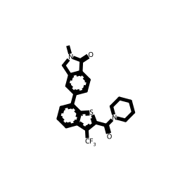 CN1Cc2cc(-c3cccc4c(C(F)(F)F)c(C(=O)N5CCCCC5)sc34)ccc2C1=O